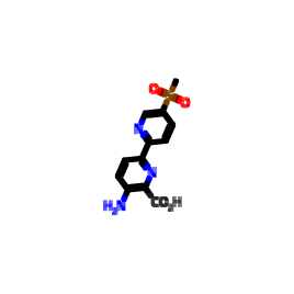 CS(=O)(=O)c1ccc(-c2ccc(N)c(C(=O)O)n2)nc1